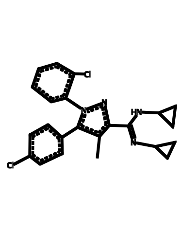 Cc1c(C(=NC2CC2)NC2CC2)nn(-c2ccccc2Cl)c1-c1ccc(Cl)cc1